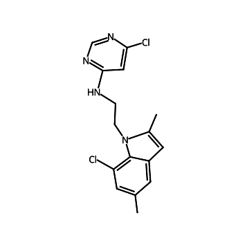 Cc1cc(Cl)c2c(c1)cc(C)n2CCNc1cc(Cl)ncn1